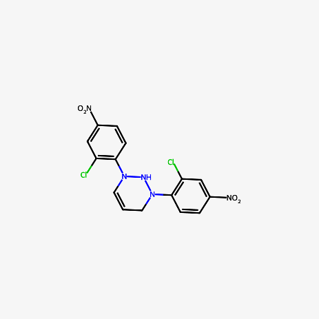 O=[N+]([O-])c1ccc(N2C=CCN(c3ccc([N+](=O)[O-])cc3Cl)N2)c(Cl)c1